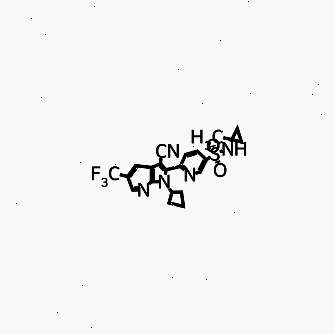 CC1(NS(=O)(=O)c2ccc(-c3c(C#N)c4cc(C(F)(F)F)cnc4n3C3CCC3)nc2)CC1